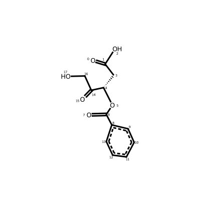 O=C(O)C[C@H](OC(=O)c1ccccc1)C(=O)CO